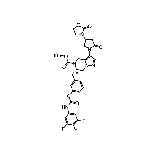 CC(C)(C)OC(=O)N1Cc2c(N3CC(N4CCOC4=O)CC3=O)cnn2C[C@@H]1Cc1cccc(OC(=O)Nc2cc(F)c(F)c(F)c2)c1